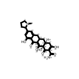 CN1CCCC1c1cc(O)c2c(c1)CC1C[C@H]3CC(O)=C(C(N)=O)C(=O)[C@@]3(O)C(O)=C1C2=O